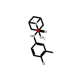 CC1CC2CC(C1)N2C(=O)Nc1ccc(Cl)c(I)c1